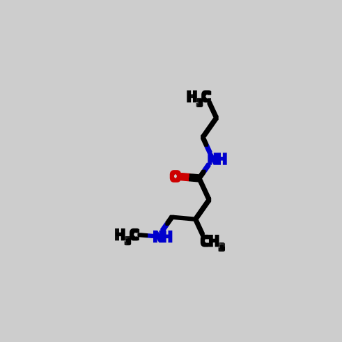 CCCNC(=O)CC(C)CNC